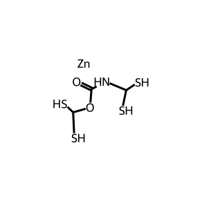 O=C(NC(S)S)OC(S)S.[Zn]